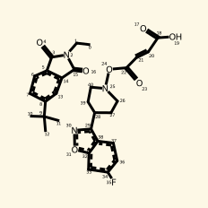 CCN1C(=O)c2ccc(C(C)(C)C)cc2C1=O.O=C(O)/C=C/C(=O)ON1CCC(c2noc3cc(F)ccc23)CC1